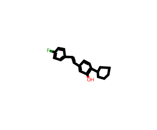 Oc1cc(/C=C/c2ccc(F)cc2)ccc1C1CCCCC1